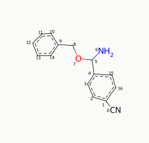 N#Cc1ccc(C(N)OCc2ccccc2)cc1